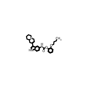 CCCCOc1ccccc1OC(=O)Nc1ccc2[nH]cc(C3=CCN4CCCCC4C3)c2c1